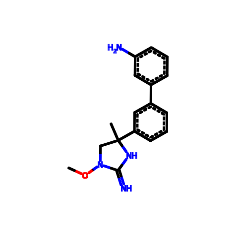 CON1CC(C)(c2cccc(-c3cccc(N)c3)c2)NC1=N